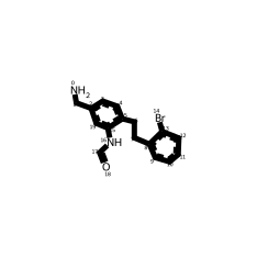 NCc1ccc(CCc2ccccc2Br)c(NC=O)c1